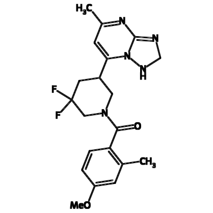 COc1ccc(C(=O)N2CC(C3=CC(C)=NC4=NCNN34)CC(F)(F)C2)c(C)c1